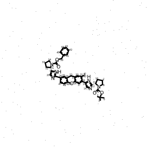 CC(C)(C)OC(=O)N1CCC[C@H]1c1ncc(-c2cc3c(cc2F)Cc2cc(-c4ncc([C@@H]5CCCN5C(=O)OCc5ccccc5)[nH]4)ccc2O3)[nH]1